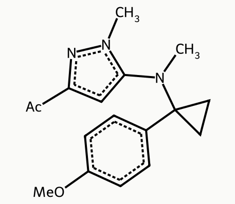 COc1ccc(C2(N(C)c3cc(C(C)=O)nn3C)CC2)cc1